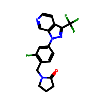 O=C1CCCN1Cc1ccc(-n2nc(C(F)(F)F)c3ccncc32)cc1F